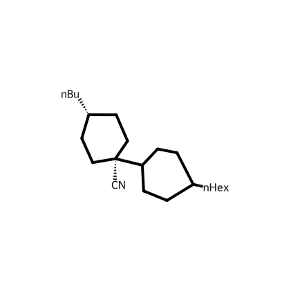 CCCCCCC1CCC([C@]2(C#N)CC[C@@H](CCCC)CC2)CC1